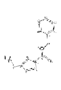 CCc1ccn(C(=O)OCc2cccnc2)c1